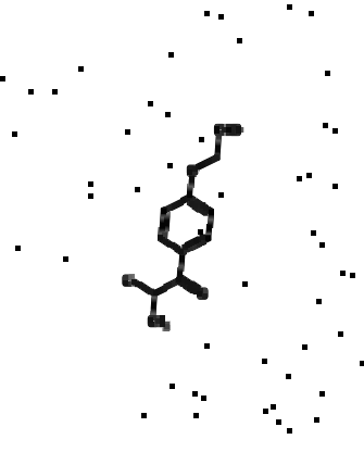 CC(Cl)C(=O)c1ccc(OC[C]=O)cc1